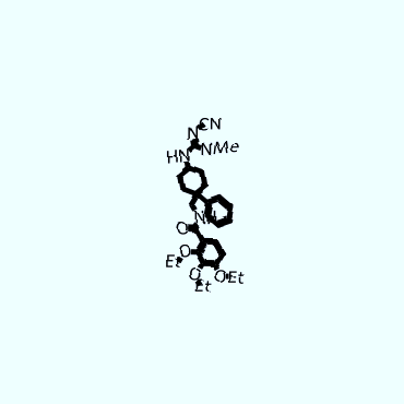 CCOc1ccc(C(=O)NCC2(c3ccccc3)CCC(N/C(=N/C#N)NC)CC2)c(OCC)c1OCC